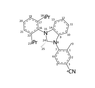 Cc1cc(C#N)ccc1N1c2ccccc2N(c2c(C(C)C)cccc2C(C)C)[C@H]1C